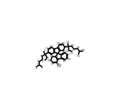 CCC(C)(CCCC(C)C)c1ccc2c(c1)C1(C3=C2C=CC(C(C)(CC)CCCC(C)C)C3)C2=C(C(Br)=CCC2)c2ccccc21